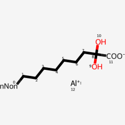 CCCCCCCCCCCCCCCCC(O)(O)C(=O)[O-].[Al+]